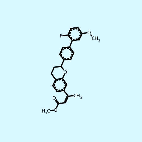 COC(=O)/C=C(/C)c1ccc2c(c1)OC(c1ccc(-c3cc(OC)ccc3F)cc1)CC2